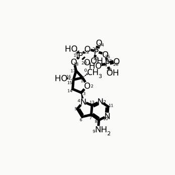 C[C@]12O[C@@H](n3ccc4c(N)ncnc43)C[C@@]1(O)C2OP(=O)(O)OP(=O)(O)OP(=O)(O)O